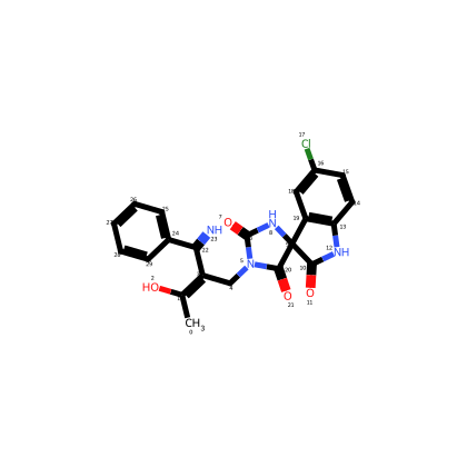 C/C(O)=C(\CN1C(=O)NC2(C(=O)Nc3ccc(Cl)cc32)C1=O)C(=N)c1ccccc1